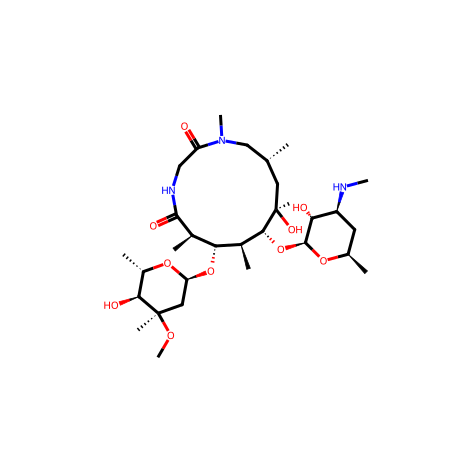 CN[C@H]1C[C@@H](C)O[C@@H](O[C@@H]2[C@@H](C)[C@H](O[C@H]3C[C@@](C)(OC)[C@@H](O)[C@H](C)O3)[C@@H](C)C(=O)NCC(=O)N(C)C[C@H](C)C[C@@]2(C)O)[C@@H]1O